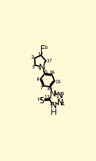 FC1CCN(c2ccc(-n3nn[nH]c3=S)cc2)C1